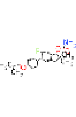 CC(C)COc1ccc(-c2cc3c(cc2F)C(OC(N)=O)C(C)(C)C3)cc1